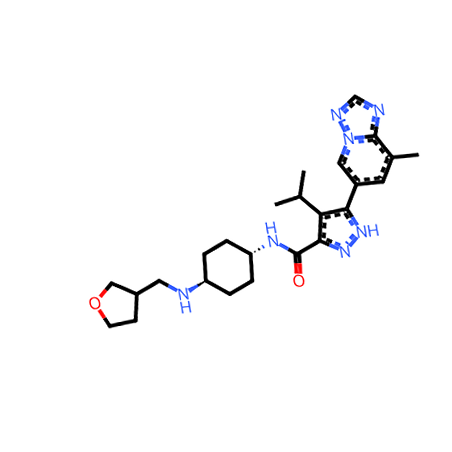 Cc1cc(-c2[nH]nc(C(=O)N[C@H]3CC[C@H](NCC4CCOC4)CC3)c2C(C)C)cn2ncnc12